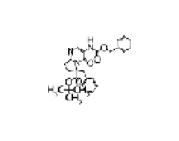 CC(C)(C)OC(=O)C1(Cc2ccccc2)CCc2ncc(NC(=O)OCc3ccccc3)c(=O)n21